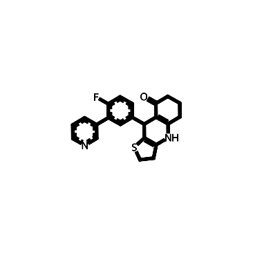 O=C1CCCC2=C1C(c1ccc(F)c(-c3cccnc3)c1)C1=C(CCS1)N2